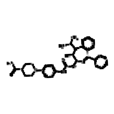 CC(C)N1C(=O)C(NC(=O)Nc2ccc(N3CCC(C(N)=O)CC3)cc2)N=C(c2ccccc2)c2ccccc21